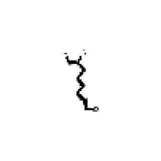 CCC=C=CC=CCC(=CCC)CC